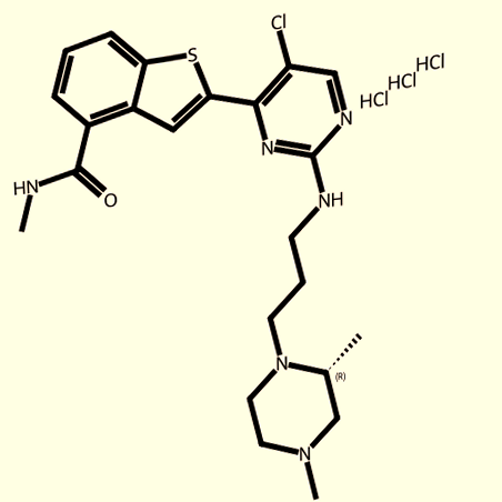 CNC(=O)c1cccc2sc(-c3nc(NCCCN4CCN(C)C[C@H]4C)ncc3Cl)cc12.Cl.Cl.Cl